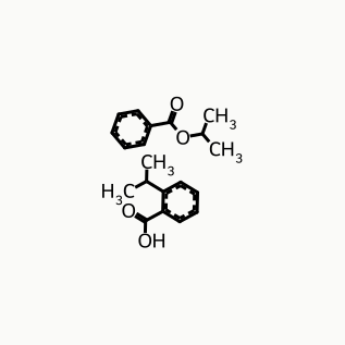 CC(C)OC(=O)c1ccccc1.CC(C)c1ccccc1C(=O)O